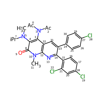 CC(=O)N(C(C)=O)c1c(N(C)C(C)C)c(=O)n(C)c2nc(-c3ccc(Cl)cc3Cl)c(-c3ccc(Cl)cc3)cc12